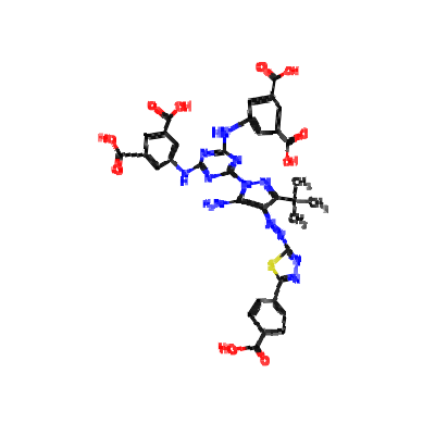 CC(C)(C)c1nn(-c2nc(Nc3cc(C(=O)O)cc(C(=O)O)c3)nc(Nc3cc(C(=O)O)cc(C(=O)O)c3)n2)c(N)c1/N=N/c1nnc(-c2ccc(C(=O)O)cc2)s1